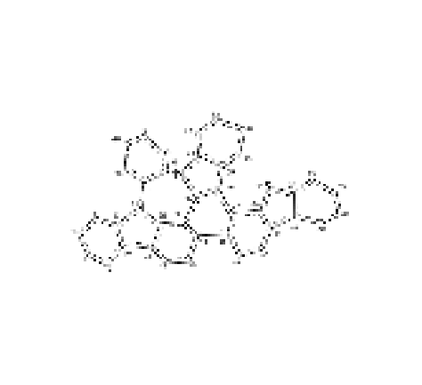 c1ccc(-n2c3ccccc3c3ccc4c5ccc6c7ccccc7sc6c5n5c6ccccc6nc5c4c32)cc1